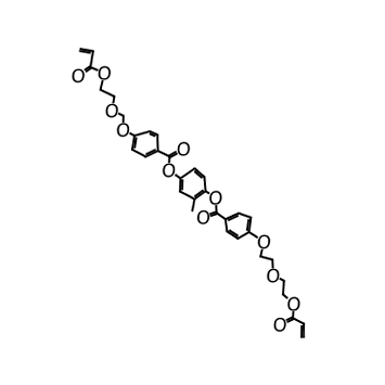 C=CC(=O)OCCOCCOc1ccc(C(=O)Oc2ccc(OC(=O)c3ccc(OCOCCOC(=O)C=C)cc3)cc2C)cc1